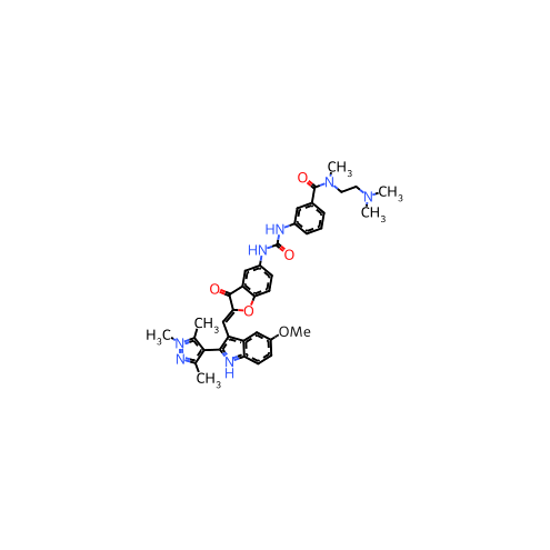 COc1ccc2[nH]c(-c3c(C)nn(C)c3C)c(C=C3Oc4ccc(NC(=O)Nc5cccc(C(=O)N(C)CCN(C)C)c5)cc4C3=O)c2c1